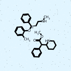 CNCC[C@@H](Oc1ccccc1C)c1ccccc1.COC(=O)C(c1ccccc1)C1CCCCN1